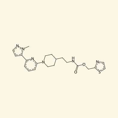 Cn1nccc1-c1cccc(N2CCC(CCNC(=O)OCc3nccs3)CC2)n1